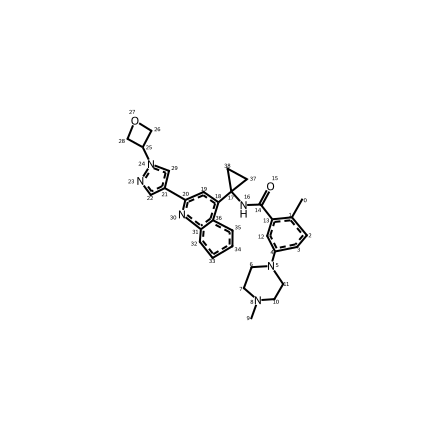 Cc1ccc(N2CCN(C)CC2)cc1C(=O)NC1(c2cc(-c3cnn(C4COC4)c3)nc3ccccc23)CC1